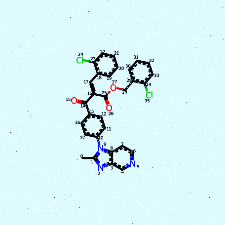 Cc1nc2cnccc2n1-c1ccc(C(=O)C(=Cc2ccccc2Cl)C(=O)OCc2ccccc2Cl)cc1